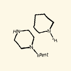 CCCCCN1CCNCC1.[2H]N1CCCCC1